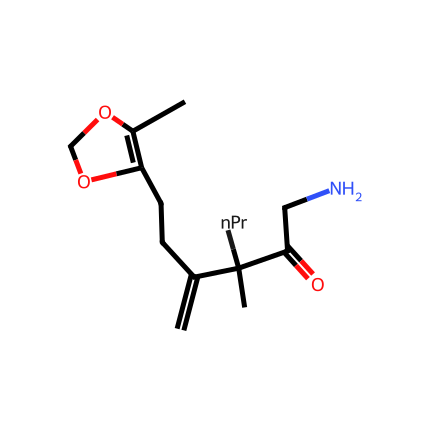 C=C(CCC1=C(C)OCO1)C(C)(CCC)C(=O)CN